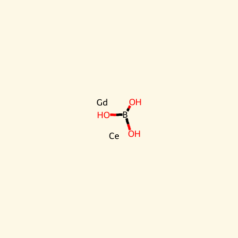 OB(O)O.[Ce].[Gd]